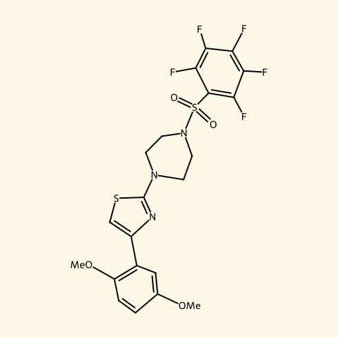 COc1ccc(OC)c(-c2csc(N3CCN(S(=O)(=O)c4c(F)c(F)c(F)c(F)c4F)CC3)n2)c1